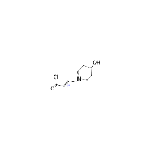 O=C(Cl)/C=C/CN1CCC(O)CC1